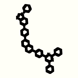 C1=CC(c2ccc3c(c2)ncn3-c2ccccc2)CC=C1c1ccc2ccc(-c3ccc(-c4cc(-c5ccccc5)nc(-c5ccccc5)n4)cc3)cc2c1